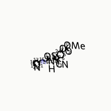 COC(=O)OC1CCc2c(sc(NC(=O)/C=C/c3cccnc3)c2C#N)C1